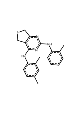 Cc1ccc(Nc2nc(Nc3ccccc3C)nc3c2CSC3)c(C)c1